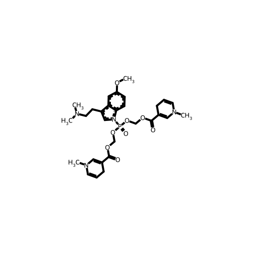 COc1ccc2c(c1)c(CCN(C)C)cn2P(=O)(OCOC(=O)C1=CN(C)C=CC1)OCOC(=O)C1=CN(C)C=CC1